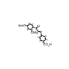 COc1ccc(C(=O)C=Cc2ccc(C(=O)O)cc2)c(OC)c1